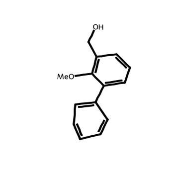 COc1c(CO)cccc1-c1ccccc1